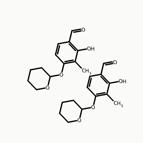 Cc1c(OC2CCCCO2)ccc(C=O)c1O.Cc1c(OC2CCCCO2)ccc(C=O)c1O